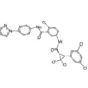 O=C(Nc1ccc(-n2cccn2)cc1)c1cc(NC(=O)[C@H]2[C@H](c3cc(Cl)cc(Cl)c3)C2(Cl)Cl)ccc1Cl